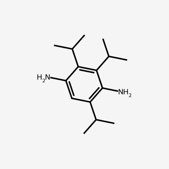 CC(C)c1cc(N)c(C(C)C)c(C(C)C)c1N